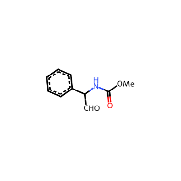 COC(=O)NC(C=O)c1ccccc1